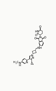 CNc1ccc(-c2cn([C@H]3C[C@H](CNc4ccc5c(c4)C(=O)N(C4CCC(=O)NC4=O)C5=O)C3)nc2C2CC2)nc1